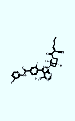 CCC/C=C(\C#N)C(=O)N1C[C@@H]2C[C@@H]1[C@H](n1nc(-c3ccc(C(=O)Nc4cc(F)ccn4)cc3F)c3c(N)ncnc31)C2